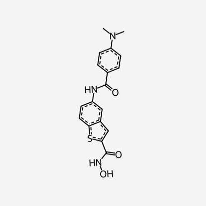 CN(C)c1ccc(C(=O)Nc2ccc3sc(C(=O)NO)cc3c2)cc1